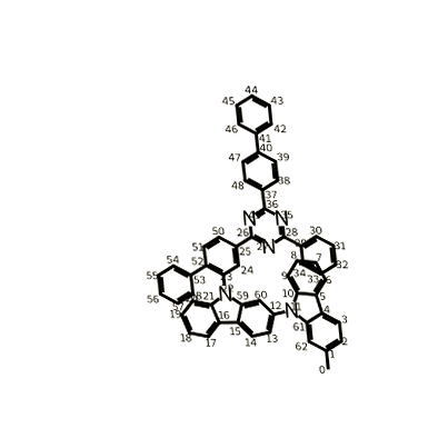 Cc1ccc2c3ccccc3n(-c3ccc4c5ccccc5n(-c5cc(-c6nc(-c7ccccc7)nc(-c7ccc(-c8ccccc8)cc7)n6)ccc5-c5ccccc5)c4c3)c2c1